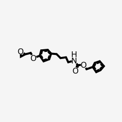 O=C(NCCCCc1ccc(OCC2CO2)cc1)OCc1ccccc1